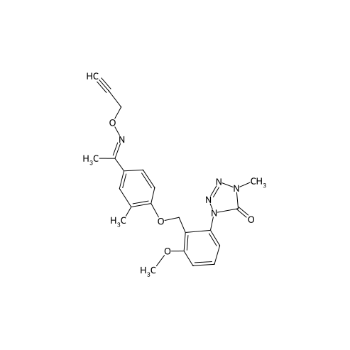 C#CCO/N=C(\C)c1ccc(OCc2c(OC)cccc2-n2nnn(C)c2=O)c(C)c1